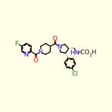 O=C(O)NC[C@H]1CN(C(=O)C2CCN(C(=O)c3ccc(F)cn3)CC2)C[C@H]1c1ccc(Cl)cc1